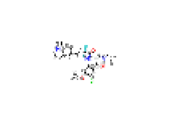 CN1CCCc2cc(CCC(F)(F)C(=O)NC(CN3CCCC3)C(O)c3ccc(OC4CC4)c(Cl)c3)ccc21